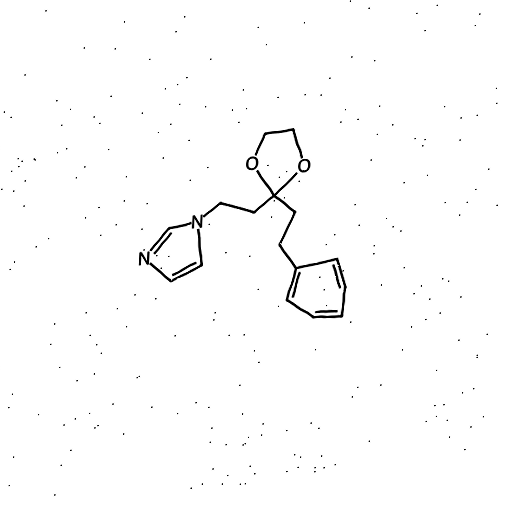 c1ccc(CCC2(CCn3ccnc3)OCCO2)cc1